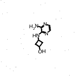 Nc1nccnc1NC1CC(O)C1